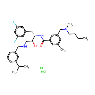 CCCCN(C)Cc1cc(C)cc(C(=O)N[C@@H](Cc2cc(F)cc(F)c2)[C@@H](O)CNCc2cccc(C(C)C)c2)c1.Cl.Cl